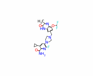 Cc1nc2c(OC(F)F)cc(CN3CCN(c4cc(C5CC5)c(C(N)=O)nc4F)CC3)cc2[nH]c1=O